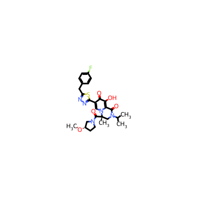 CO[C@H]1CCN(C(=O)[C@@]2(C)CN(C(C)C)C(=O)c3c(O)c(=O)c(-c4nnc(Cc5ccc(F)cc5)s4)cn32)C1